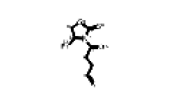 C=CCCC(=O)N1C(=S)SCC1C(C)C